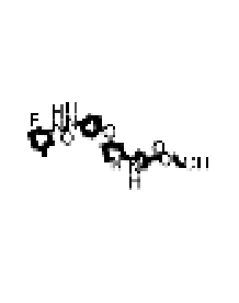 Cc1ccc(F)c(NC(=O)Nc2ccc(Oc3ccnc(-c4cc(C(=O)OCCO)c[nH]4)c3)cc2)c1